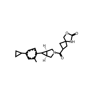 Cc1cc(C2CC2)ccc1C1[C@H]2CN(C(=O)C3CC4(COC(=O)N4)C3)C[C@@H]12